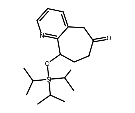 CC(C)[Si](OC1CCC(=O)Cc2cccnc21)(C(C)C)C(C)C